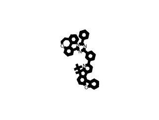 CC(C)(C)C1(C)c2ccc3oc4ccccc4c3c2-c2ccc(-c3cccc(-c4nc(-c5ccccc5)nc(-c5cccc6c5-c5ccccc5CCO6)n4)c3)nc21